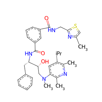 Cc1csc(CNC(=O)c2cccc(C(=O)N[C@@H](Cc3ccccc3)[C@H](O)CN(C)c3cc(C(C)C)c(C)nc3C)c2)n1